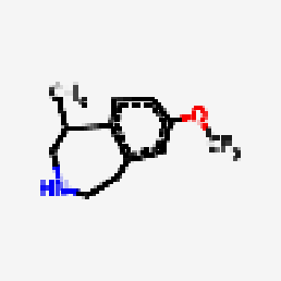 CC1CNCCc2cc(OC(F)(F)F)ccc21